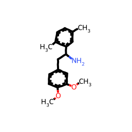 COc1ccc(CC(N)c2cc(C)ccc2C)cc1OC